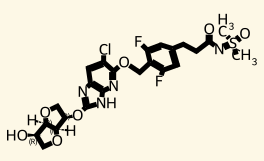 CS(C)(=O)=NC(=O)CCc1cc(F)c(COc2nc3[nH]c(O[C@@H]4CO[C@H]5[C@@H]4OC[C@H]5O)nc3cc2Cl)c(F)c1